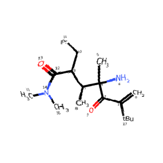 C=C(C(=O)C(C)(N)C(C)C(CC(C)C)C(=O)N(C)C)C(C)(C)C